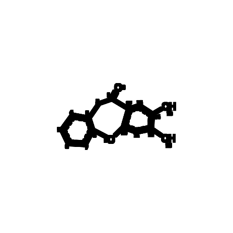 O=C1Cc2ccccc2Oc2cc(O)c(O)cc21